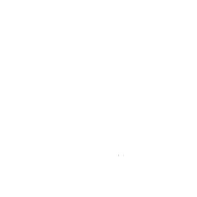 C=CC=CC=CCCC(=O)CC